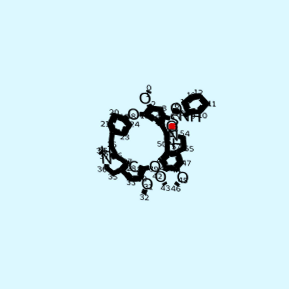 COc1cc(S(=O)(=O)Nc2ccccc2)c2cc1Oc1ccc(cc1)C[C@@H]1c3cc(c(OC)cc3CCN1C)Oc1c(OC)c(OC)cc3c1[C@@H](C2)N(C)CC3